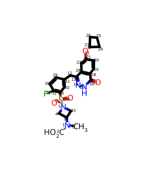 CN(C(=O)O)C1CN(S(=O)(=O)c2cc(Cc3n[nH]c(=O)c4ccc(OC5CCC5)cc34)ccc2F)C1